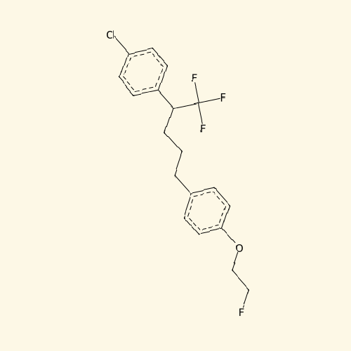 FCCOc1ccc(CCCC(c2ccc(Cl)cc2)C(F)(F)F)cc1